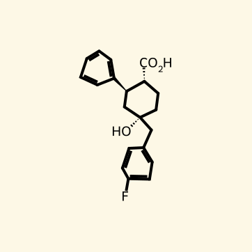 O=C(O)[C@@H]1CC[C@@](O)(Cc2ccc(F)cc2)C[C@H]1c1ccccc1